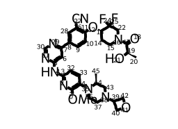 COc1nc(Nc2cc(-c3ccc(O[C@H]4CCN(C(=O)[C@@H](C)O)CC4(F)F)c(C#N)c3)ncn2)ccc1N1CCN(C2COC2)C[C@@H]1C